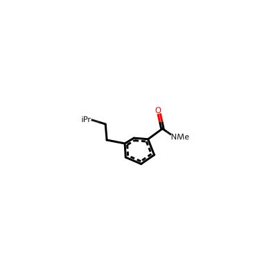 CNC(=O)c1cccc(CCC(C)C)c1